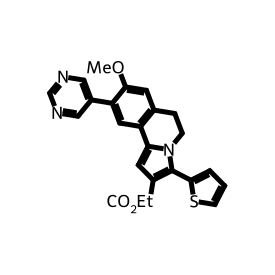 CCOC(=O)c1cc2n(c1-c1cccs1)CCc1cc(OC)c(-c3cncnc3)cc1-2